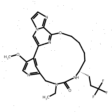 CCN1Cc2cc(c(OC)cn2)-c2cn3ccnc3c(n2)OCCCC[C@H](CCC(F)(F)F)NC1=O